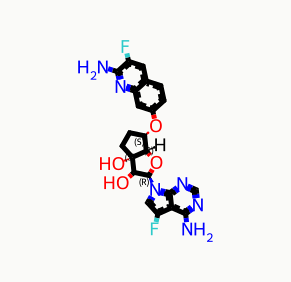 Nc1nc2cc(O[C@H]3CC[C@]4(O)C(O)[C@H](n5cc(F)c6c(N)ncnc65)O[C@H]34)ccc2cc1F